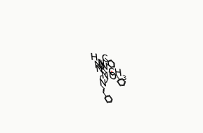 Cc1cccc(C)c1-n1nnnc1[C@H](COCc1ccccc1)N1CCN(C/C=C/c2ccccc2)CC1